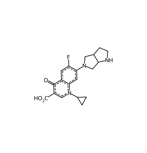 O=C(O)c1cn(C2CC2)c2cc(N3CC4CCNC4C3)c(F)cc2c1=O